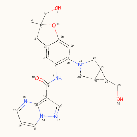 CC1(CO)Cc2cc(NC(=O)c3cnn4cccnc34)c(N3CC4C(CO)C4C3)cc2O1